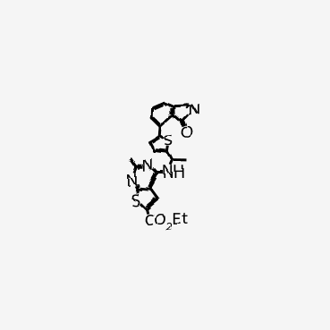 CCOC(=O)c1cc2c(NC(C)c3ccc(-c4cccc5c4C(=O)N=C5)s3)nc(C)nc2s1